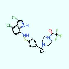 O=C(N1CCN(C2(c3ccc(SNc4ccc(Cl)c5c(Cl)c[nH]c45)cc3)CC2)CC1)C(F)(F)F